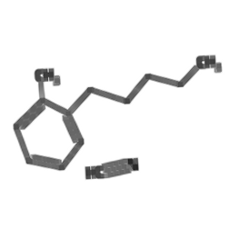 C#N.CCCCCc1ccccc1C